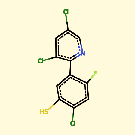 Fc1cc(Cl)c(S)cc1-c1ncc(Cl)cc1Cl